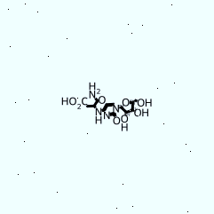 NC(=O)C(CC(=O)O)Nc1ccn([C@@H]2O[C@H](CO)[C@@H](O)[C@@H]2O)c(=O)n1